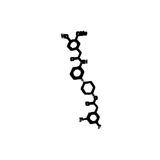 COc1cc(CC(=O)Nc2cccc([C@H]3CC[C@@H](OC(=O)Cc4cc(F)cc(F)c4)CC3)c2)ccc1O